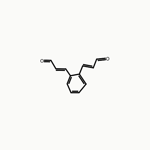 O=C/C=C/c1ccccc1/C=C/C=O